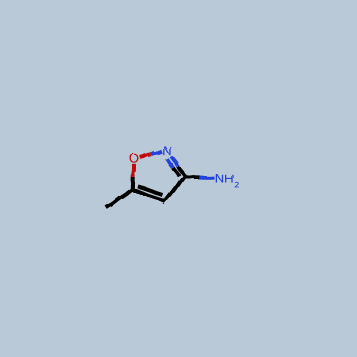 Cc1[c]c(N)no1